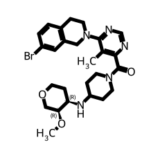 CO[C@H]1COCC[C@H]1NC1CCN(C(=O)c2ncnc(N3CCc4ccc(Br)cc4C3)c2C)CC1